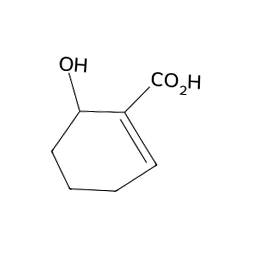 O=C(O)C1=CCCCC1O